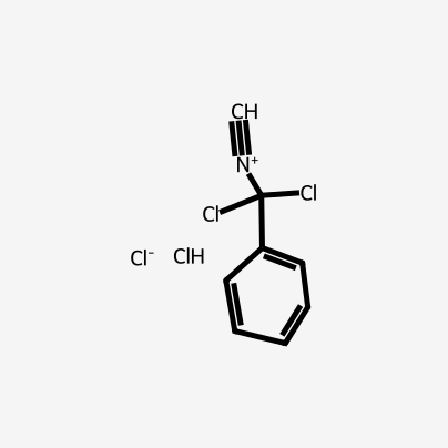 C#[N+]C(Cl)(Cl)c1ccccc1.Cl.[Cl-]